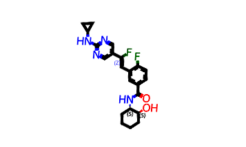 O=C(N[C@H]1CCCC[C@@H]1O)c1ccc(F)c(/C=C(\F)c2cnc(NC3CC3)nc2)c1